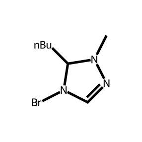 CCCCC1N(Br)C=NN1C